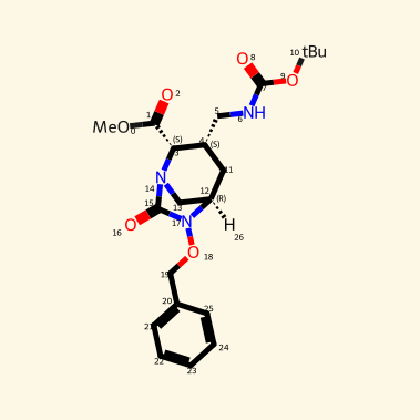 COC(=O)[C@@H]1[C@H](CNC(=O)OC(C)(C)C)C[C@@H]2CN1C(=O)N2OCc1ccccc1